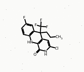 CCCC1(C(F)(F)F)c2cc(F)ccc2Nc2c1cc(Cl)[nH]c2=O